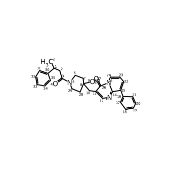 CC(CC(=O)N1CCC(O)(Cc2cnc3c(-c4ccccc4)cccn3c2=O)CC1)c1ccccc1